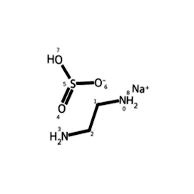 NCCN.O=S([O-])O.[Na+]